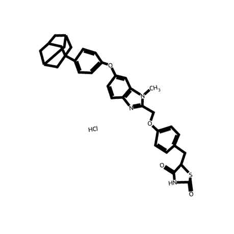 Cl.Cn1c(COc2ccc(CC3SC(=O)NC3=O)cc2)nc2ccc(Oc3ccc(C45CC6CC(CC(C6)C4)C5)cc3)cc21